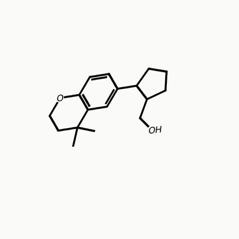 CC1(C)CCOc2ccc(C3CCCC3CO)cc21